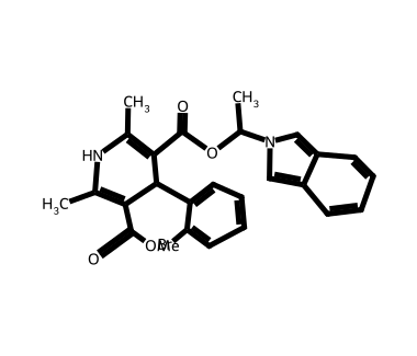 COC(=O)C1=C(C)NC(C)=C(C(=O)OC(C)n2cc3ccccc3c2)C1c1ccccc1Br